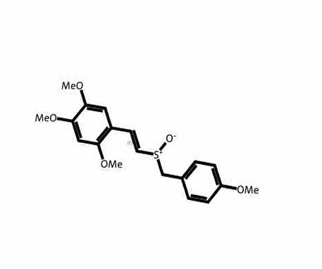 COc1ccc(C[S+]([O-])/C=C/c2cc(OC)c(OC)cc2OC)cc1